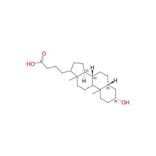 CC12CC[C@@H](O)C[C@H]1CC[C@@H]1C2CCC2(C)C(CCCC(=O)O)CC[C@@H]12